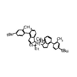 CC[C](CC)=[Hf]([CH3])([CH3])([CH]1C=Cc2c(-c3ccc(C(C)(C)C)cc3C)cccc21)[CH]1C=Cc2c(-c3ccc(C(C)(C)C)cc3C)cccc21